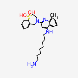 Cc1cccc2c(NCCCCCCCCN)cc(N3CCS(O)(O)c4ccccc4C3)nc12